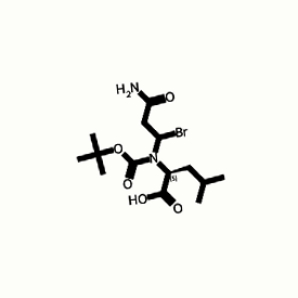 CC(C)C[C@@H](C(=O)O)N(C(=O)OC(C)(C)C)C(Br)CC(N)=O